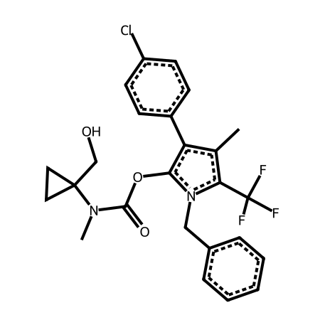 Cc1c(-c2ccc(Cl)cc2)c(OC(=O)N(C)C2(CO)CC2)n(Cc2ccccc2)c1C(F)(F)F